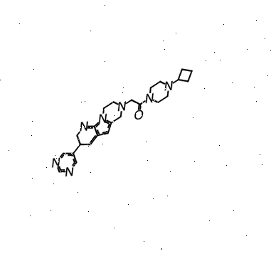 O=C(CN1CCn2c(cc3c2=NCC(c2cncnc2)C=3)C1)N1CCN(C2CCC2)CC1